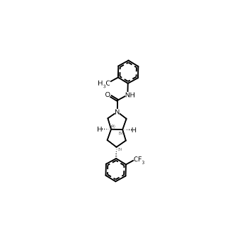 Cc1ccccc1NC(=O)N1C[C@H]2C[C@H](c3ccccc3C(F)(F)F)C[C@H]2C1